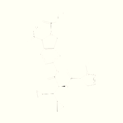 COC(=O)C1c2ccc(NC(=O)[C@@H](NC(=O)c3ccnn3C(C)C)C(C3CC3)C3CC3)cc2CN1C(=O)OC(C)(C)C